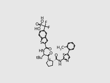 Cc1ccccc1-c1cnc(NC(=O)[C@@H]2CCCN2C(=O)C(NC(=O)c2cc3cc(C(F)(F)P(=O)(O)O)ccc3s2)C(C)(C)C)s1